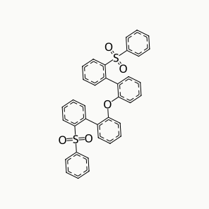 O=S(=O)(c1ccccc1)c1ccccc1-c1ccccc1Oc1ccccc1-c1ccccc1S(=O)(=O)c1ccccc1